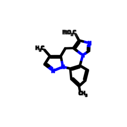 CCOC(=O)c1ncn2c1Cc1c(C)cnn1-c1cc(C)ccc1-2